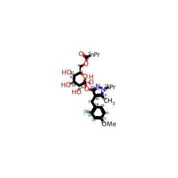 CCCC(=O)OC[C@H]1O[C@@](O)(Oc2nn(C(C)C)c(C)c2Cc2ccc(OC)cc2F)[C@H](O)[C@@H](O)[C@@H]1O